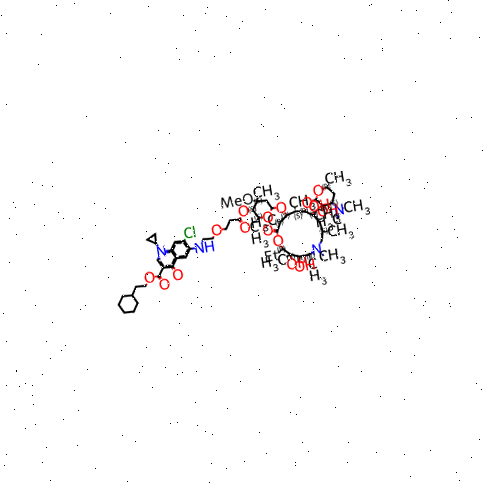 CC[C@H]1OC(=O)[C@H](C)[C@@H](OC2C[C@](C)(OC)[C@@H](OC(=O)CCOCCNc3cc4c(=O)c(C(=O)OCCC5CCCCC5)cn(C5CC5)c4cc3Cl)[C@H](C)O2)[C@H](C)[C@@H](OC2O[C@H](C)C[C@H](N(C)C)[C@H]2O)[C@](C)(O)C[C@@H](C)CN(C)[C@H](C)[C@@H](O)[C@]1(C)O